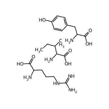 CCC(C)C(N)C(=O)O.N=C(N)NCCCC(N)C(=O)O.NC(Cc1ccc(O)cc1)C(=O)O